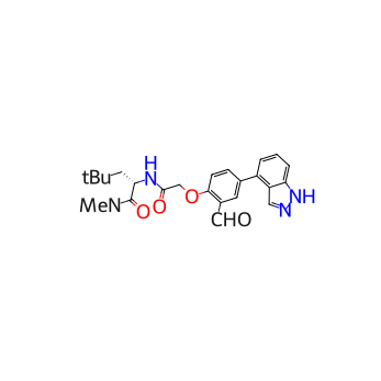 CNC(=O)[C@H](CC(C)(C)C)NC(=O)COc1ccc(-c2cccc3[nH]ncc23)cc1C=O